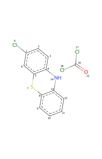 Clc1ccc2c(c1)Sc1ccccc1N2.O=C(Cl)Cl